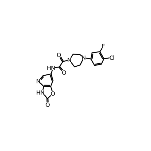 O=C(Nc1cnc2[nH]c(=O)oc2c1)C(=O)N1CCN(c2ccc(Cl)c(F)c2)CC1